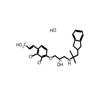 CC(C)(CC1Cc2ccccc2C1)NC[C@H](O)COc1ccc(/C=C/C(=O)O)c(Cl)c1Cl.Cl